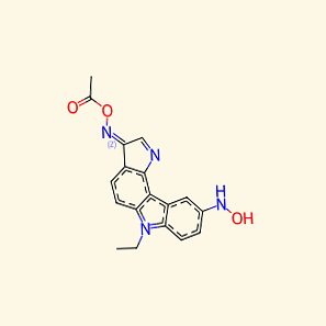 CCn1c2ccc(NO)cc2c2c3c(ccc21)/C(=N/OC(C)=O)C=N3